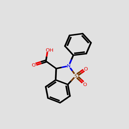 O=C(O)C1c2ccccc2S(=O)(=O)N1c1ccccc1